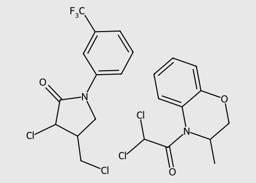 CC1COc2ccccc2N1C(=O)C(Cl)Cl.O=C1C(Cl)C(CCl)CN1c1cccc(C(F)(F)F)c1